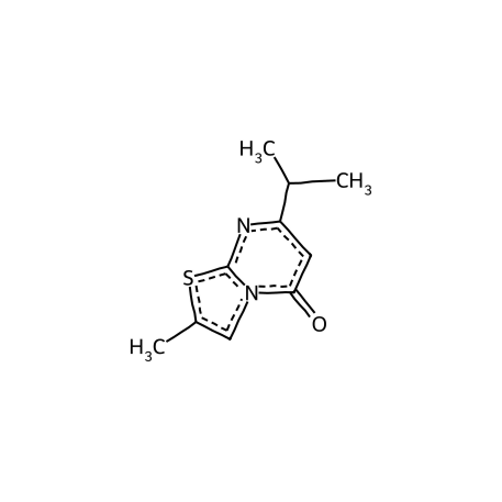 Cc1cn2c(=O)cc(C(C)C)nc2s1